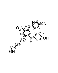 C[C@]1(O)CC[C@@H](Nc2nc(Nc3ccc(C#N)cn3)c([N+](=O)[O-])cc2OCCOCCO)CC1